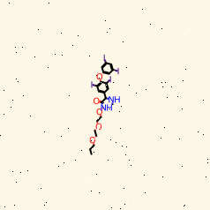 CCCOCCOCCONC(=O)C(NC)c1cc(I)c(Oc2cc(I)cc(I)c2)c(I)c1